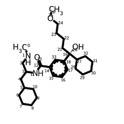 CNCC(CC1CCCCC1)NC(=O)c1cccc([C@@](O)(CCCCOC)C2CCCCC2)c1